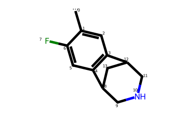 [C]c1cc2c(cc1F)C1CNCC2C1